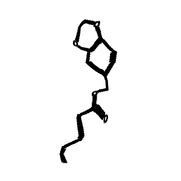 C=C/C=C/C(=O)OCc1ccc2c(c1)OCO2